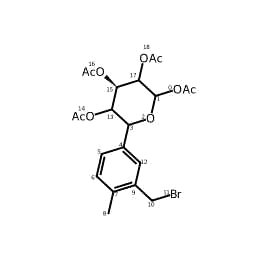 CC(=O)OC1OC(c2ccc(C)c(CBr)c2)C(OC(C)=O)[C@@H](OC(C)=O)C1OC(C)=O